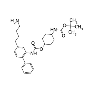 CC(C)(C)OC(=O)NC1CCC(OC(=O)Nc2cc(CCCCN)ccc2-c2ccccc2)CC1